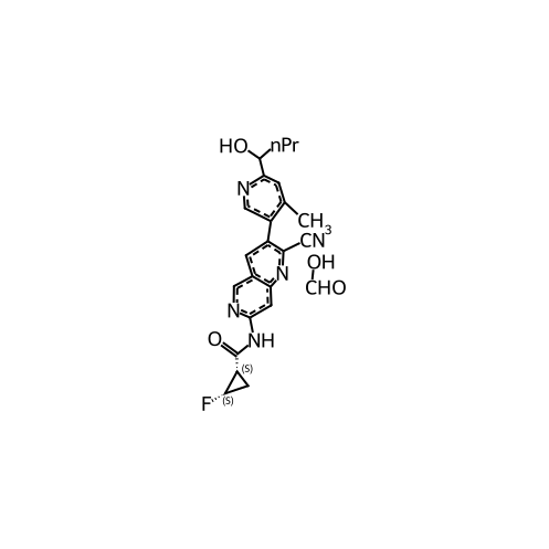 CCCC(O)c1cc(C)c(-c2cc3cnc(NC(=O)[C@@H]4C[C@@H]4F)cc3nc2C#N)cn1.O=CO